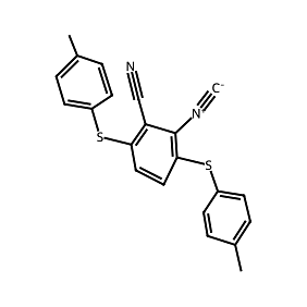 [C-]#[N+]c1c(Sc2ccc(C)cc2)ccc(Sc2ccc(C)cc2)c1C#N